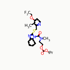 Cc1c(OCC(F)(F)F)ccnc1CSc1nc2ccccc2n1C(=O)N(C)CCOC(=O)OC(C)C